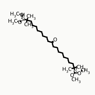 CO[SiH](OC)C(C)(C)CCCCCCCCC(=O)CCCCCCCCC(C)(C)[SiH](OC)OC